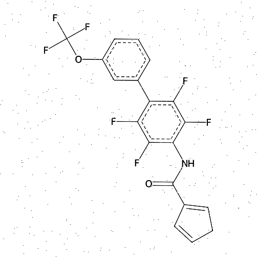 O=C(Nc1c(F)c(F)c(-c2cccc(OC(F)(F)F)c2)c(F)c1F)C1=CCC=C1